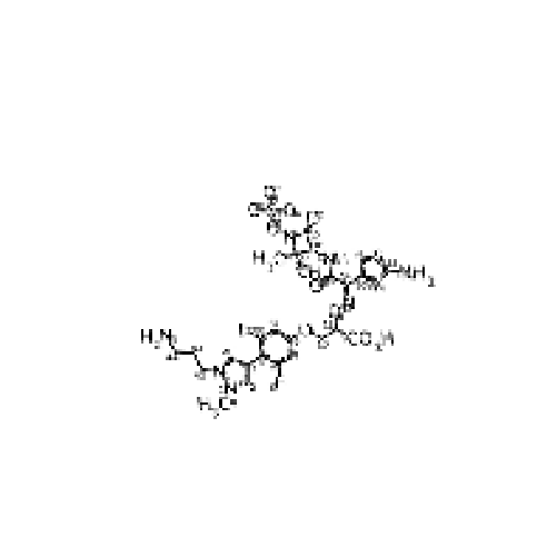 C[n+]1cc(-c2c(F)cc(OCC(O/N=C(\C(=O)N[C@@H]3C(=O)N(OS(=O)(=O)[O-])C3(C)C)c3csc(N)n3)C(=O)O)cc2F)cn1CCCN